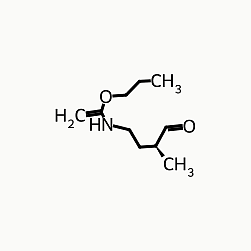 C=C(NCC[C@H](C)C=O)OCCC